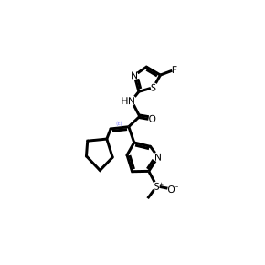 C[S+]([O-])c1ccc(/C(=C\C2CCCC2)C(=O)Nc2ncc(F)s2)cn1